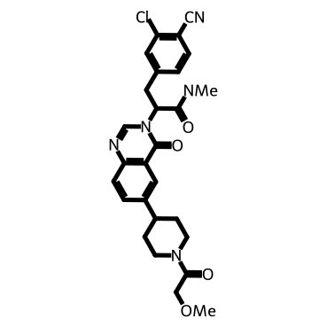 CNC(=O)C(Cc1ccc(C#N)c(Cl)c1)n1cnc2ccc(C3CCN(C(=O)COC)CC3)cc2c1=O